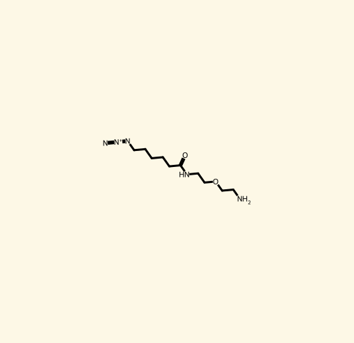 [N-]=[N+]=NCCCCCC(=O)NCCOCCN